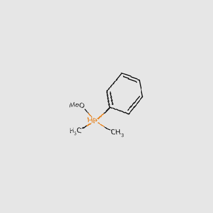 CO[PH](C)(C)c1ccccc1